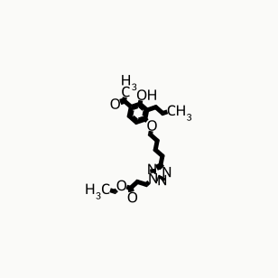 CCCc1c(OCCCCc2nnn(CCC(=O)OCC)n2)ccc(C(C)=O)c1O